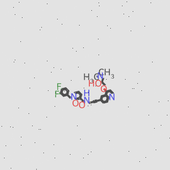 CN(C)CC(O)COc1ccnc2ccc(C#CCNC(=O)c3cccn(Cc4ccc(F)c(F)c4)c3=O)cc12